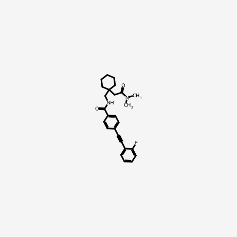 CN(C)C(=O)CC1(CNC(=O)c2ccc(C#Cc3ccccc3F)cc2)CCCCC1